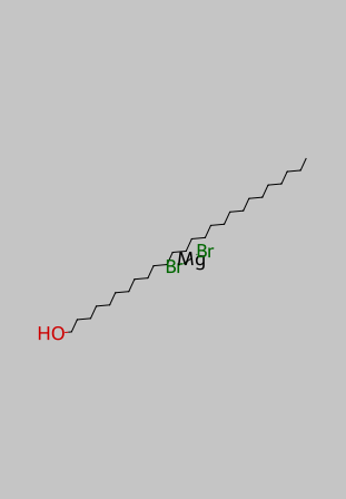 CCCCCCCCCCCCCCCCCCCCCCCCCCO.[Br][Mg][Br]